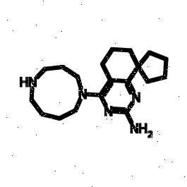 Nc1nc(N2CCCCNCCC2)c2c(n1)C1(CCCC1)CCC2